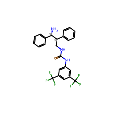 N[C@H](c1ccccc1)[C@H](CNC(=S)Nc1cc(C(F)(F)F)cc(C(F)(F)F)c1)c1ccccc1